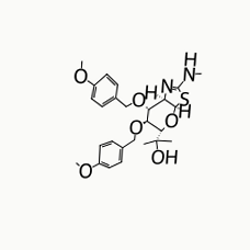 CNC1=N[C@@H]2[C@@H](OCc3ccc(OC)cc3)[C@H](OCc3ccc(OC)cc3)[C@@H](C(C)(C)O)O[C@@H]2S1